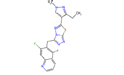 CCc1nn(C)cc1-c1nn2c(Cc3c(F)cc4ncccc4c3F)nnc2s1